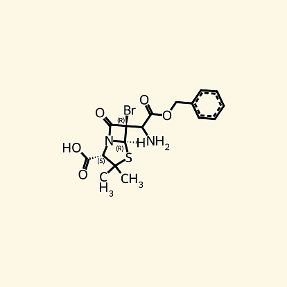 CC1(C)S[C@H]2N(C(=O)[C@]2(Br)C(N)C(=O)OCc2ccccc2)[C@H]1C(=O)O